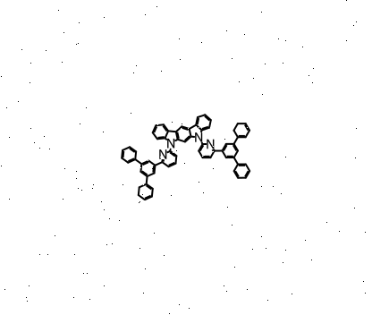 C1=CCCC(c2cc(-c3ccccc3)cc(-c3cccc(-n4c5ccccc5c5cc6c7ccccc7n(-c7cccc(-c8cc(C9=CC=CCC9)cc(-c9ccccc9)c8)n7)c6cc54)n3)c2)=C1